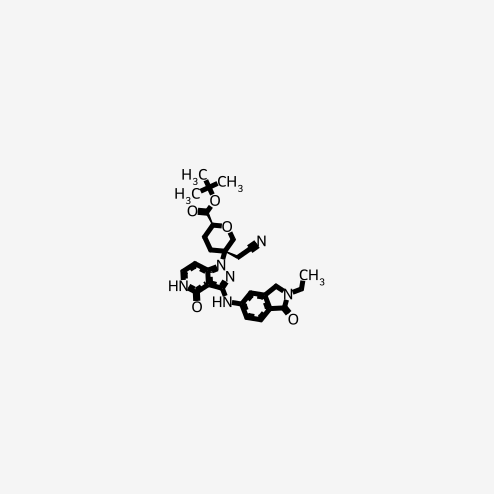 CCN1Cc2cc(Nc3nn([C@]4(CC#N)CC[C@@H](C(=O)OC(C)(C)C)OC4)c4cc[nH]c(=O)c34)ccc2C1=O